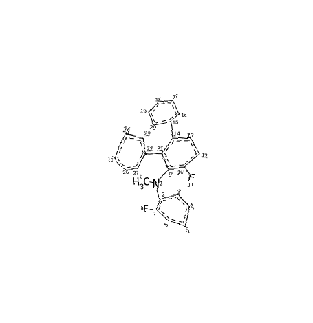 CN(c1ccccc1F)c1c(F)ccc(-c2ccccc2)c1-c1ccccc1